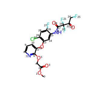 COC(=O)COc1ncccc1Oc1cc(NC(=O)C(F)(F)C(=O)CF)c(F)cc1Cl